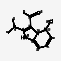 CC(=O)C1=C(N(C)C)NC2=CC=CN(Cl)N21